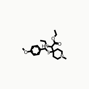 CCNC(C(=O)OCC)C1(SCc2ccc(OC)cc2)CCN(C)CC1